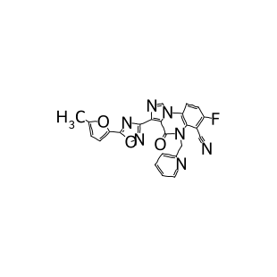 Cc1ccc(-c2nc(-c3ncn4c3c(=O)n(Cc3ccccn3)c3c(C#N)c(F)ccc34)no2)o1